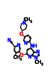 Cc1cc(C#N)ncc1Oc1cc(Nc2ccc(OC3CCN(C)CC3)cn2)c2ncn(C)c2n1